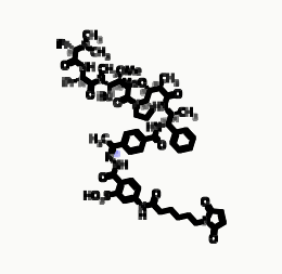 CC[C@H](C)[C@@H]([C@@H](CC(=O)N1CCC[C@H]1[C@H](OC)[C@@H](C)C(=O)N[C@H](C)[C@@H](NC(=O)c1ccc(/C(C)=N\NC(=O)c2ccc(NC(=O)CCCCCN3C(=O)C=CC3=O)cc2S(=O)(=O)O)cc1)c1ccccc1)OC)N(C)C(=O)[C@@H](NC(=O)[C@H](C(C)C)N(C)C)C(C)C